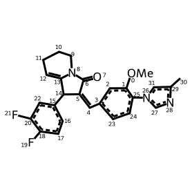 COc1cc(C=C2C(=O)N3CCCC=C3C2c2ccc(F)c(F)c2)ccc1-n1cnc(C)c1